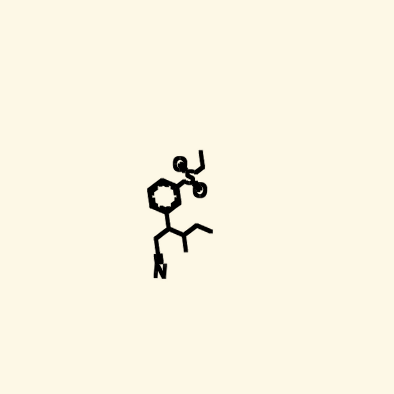 CCC(C)C(CC#N)c1cccc(S(=O)(=O)CC)c1